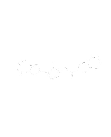 O=C(Nc1scc(-c2cc3cc(O)ccc3o2)c1C(=O)O)c1cc2ccccc2o1